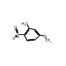 Cc1cc(OC(F)(F)F)ccc1[SH](=O)=O